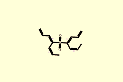 C=C/C=C(\C=C/C)S(=O)(=O)C(/C=C\C)=C/C=C